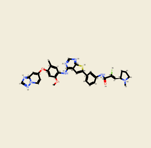 COc1cc(Oc2ccn3ncnc3c2)c(C)cc1Nc1ncnc2sc(-c3cccc(NC(=O)/C(F)=C/[C@H]4CCCN4C)c3)cc12